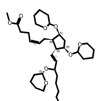 CCCCCC(/C=C/[C@@H]1[C@@H](C/C=C\CCC(=O)OC)[C@@H](OC2CCCCO2)C[C@H]1OC1CCCCO1)O[C@H]1CCCCO1